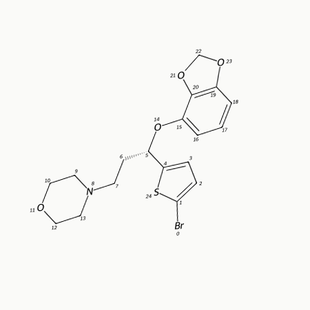 Brc1ccc([C@H](CCN2CCOCC2)Oc2cccc3c2OCO3)s1